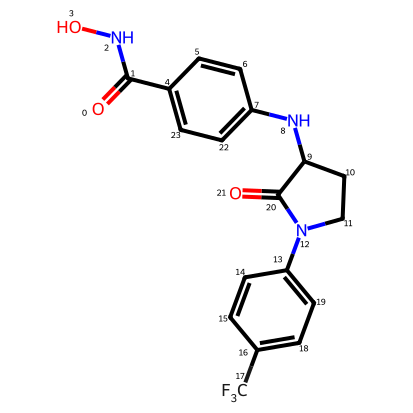 O=C(NO)c1ccc(NC2CCN(c3ccc(C(F)(F)F)cc3)C2=O)cc1